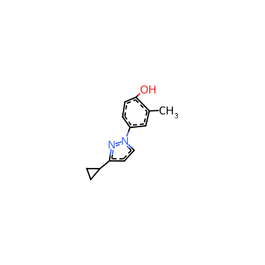 Cc1cc(-n2ccc(C3CC3)n2)ccc1O